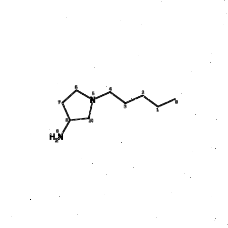 CCCCCN1CCC(N)C1